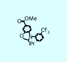 COC(=O)c1ccc2c(c1)OCC(C(C)C)N2c1cccc(C(F)(F)F)c1